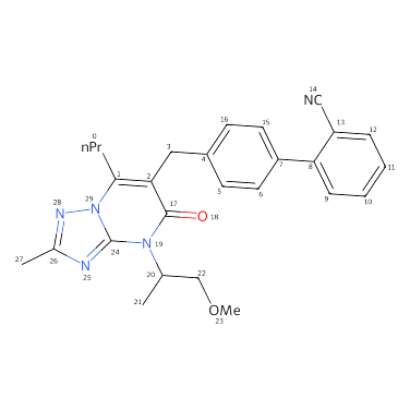 CCCc1c(Cc2ccc(-c3ccccc3C#N)cc2)c(=O)n(C(C)COC)c2nc(C)nn12